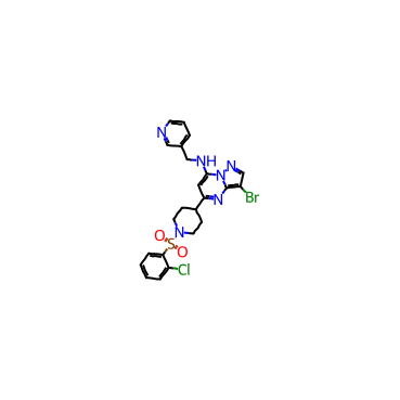 O=S(=O)(c1ccccc1Cl)N1CCC(c2cc(NCc3cccnc3)n3ncc(Br)c3n2)CC1